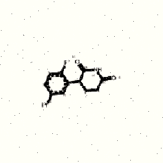 CC(C)c1ccc(F)c(C2CCC(=O)NC2=O)c1